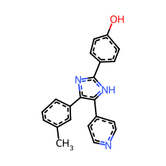 Cc1cccc(-c2nc(-c3ccc(O)cc3)[nH]c2-c2ccncc2)c1